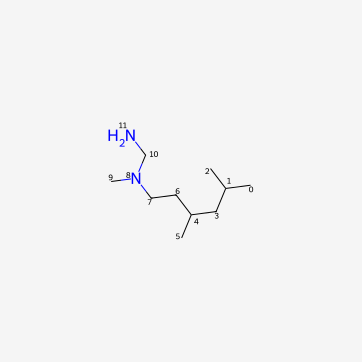 CC(C)CC(C)CCN(C)CN